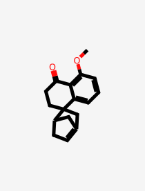 COc1cccc2c1C(=O)CCC21CC2=CCC1C2